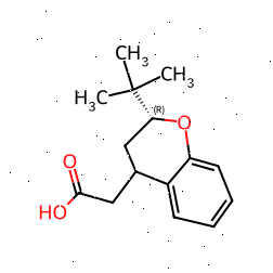 CC(C)(C)[C@H]1CC(CC(=O)O)c2ccccc2O1